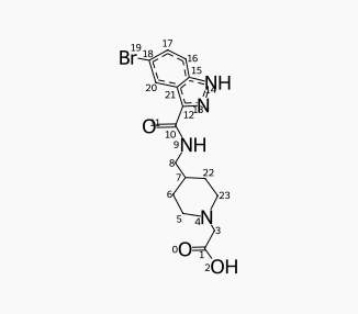 O=C(O)CN1CCC(CNC(=O)c2n[nH]c3ccc(Br)cc23)CC1